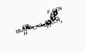 CC(NC(=O)COCCOCCOCCOc1ncc(N2C(=S)N(c3ccc(C#N)c(C(F)(F)F)c3F)C(=O)C2(C)C)cc1F)C(C)(C)C